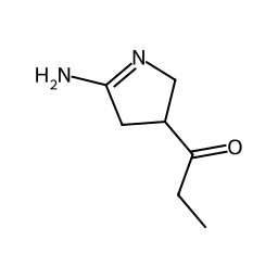 CCC(=O)C1CN=C(N)C1